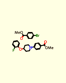 COC(=O)c1ccc(Br)cc1.COC(=O)c1ccc(N2CCC(Oc3ccccc3F)CC2)cc1